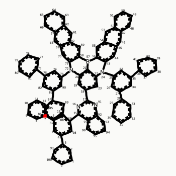 c1ccc(-c2cc(-c3ccccc3)cc(-c3nc(-c4cc5c6c(c4)N(c4cc(-c7ccccc7)cc(-c7ccccc7)c4)c4cc7cc8ccccc8cc7cc4B6c4cc6cc7ccccc7cc6cc4N5c4cc(-c5ccccc5)cc(-c5ccccc5)c4)nc4ccccc34)c2)cc1